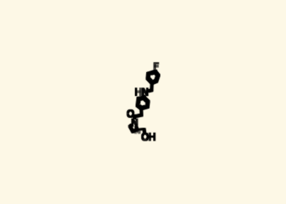 O=C(Cc1ccc(NCc2ccc(F)cc2)cc1)N1CC[C@@H]1CO